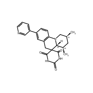 C[C@H]1C[C@@H](C)[C@H]2N(C1)c1ccc(-c3cccnc3)cc1CC21C(=O)NC(=O)NC1=O